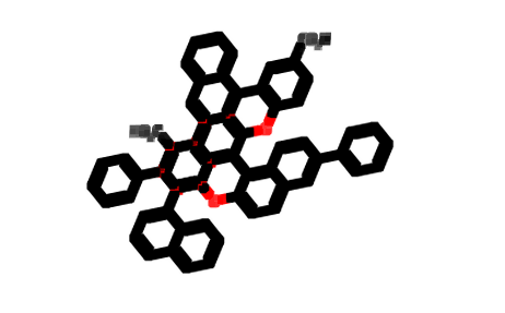 O=C(O)c1ccc(Oc2ccc3cc(-c4ccccc4)ccc3c2-c2c(Oc3ccc(C(=O)O)cc3-c3cccc4ccccc34)ccc3cc(-c4ccccc4)ccc23)c(-c2cccc3ccccc23)c1